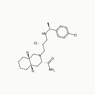 C[C@H](NC[C@@H](Cl)CN1C[C@H]2CCCC[C@H]2C[C@H]1C(N)=O)c1ccc(Cl)cc1